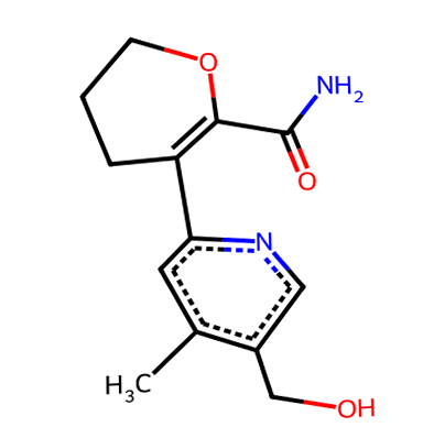 Cc1cc(C2=C(C(N)=O)OCCC2)ncc1CO